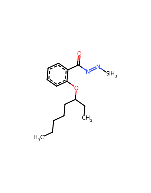 CCCCCC(CC)Oc1ccccc1C(=O)N=N[SiH3]